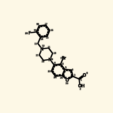 O=C(O)c1cc2c(Br)c(N3CCN(Cc4ccccc4F)CC3)ccc2o1